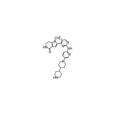 Cn1c(-c2nc(Nc3ccc(N4CCC(C5CCNCC5)CC4)cn3)ncc2F)cc2c1CCNC2=O